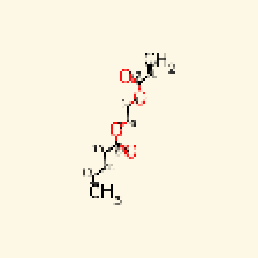 C=CC(=O)OCCOC(=O)CCCC